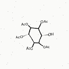 CC(=O)OC1C(OC(C)=O)[C@H](OC(C)=O)C(OC(C)=O)C(OC(C)=O)[C@@H]1O